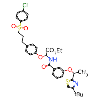 CCOC(=O)C(NC(=O)c1cccc(OC(C)c2nc(C(C)(C)C)cs2)c1)Oc1ccc(CCCS(=O)(=O)c2ccc(Cl)cc2)cc1